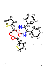 O=C(O/N=C(\C(=N/OC(=O)c1cccs1)c1ccccc1)c1ccccc1)c1cccs1